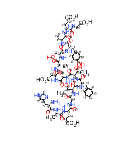 CC(C)C[C@H](NC(=O)[C@H](Cc1ccc(O)cc1)NC(=O)[C@H](CO)NC(=O)[C@@H](NC(=O)[C@H](CC(=O)O)NC(=O)[C@H](CO)NC(=O)[C@@H](NC(=O)[C@H](Cc1ccccc1)NC(=O)[C@@H](NC(=O)CNC(=O)[C@H](CCC(=O)O)NC(=O)[C@H](C)NC(=O)[C@@H](N)Cc1c[nH]cn1)[C@@H](C)O)[C@@H](C)O)C(C)C)C(=O)N[C@@H](CCC(=O)O)C(=O)NCC(=O)O